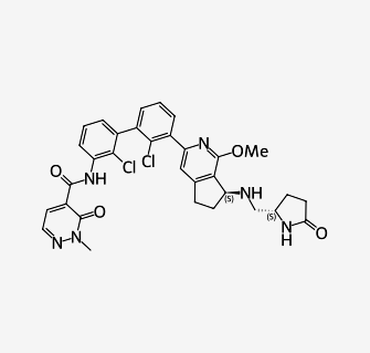 COc1nc(-c2cccc(-c3cccc(NC(=O)c4ccnn(C)c4=O)c3Cl)c2Cl)cc2c1[C@@H](NC[C@@H]1CCC(=O)N1)CC2